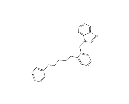 c1ccc(CCCCCc2ccccc2Cn2cnc3ccccc32)cc1